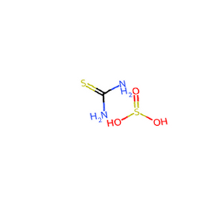 NC(N)=S.O=S(O)O